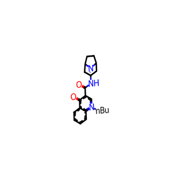 CCCCn1cc(C(=O)NC2CC3CCC(C2)N3C)c(=O)c2ccccc21